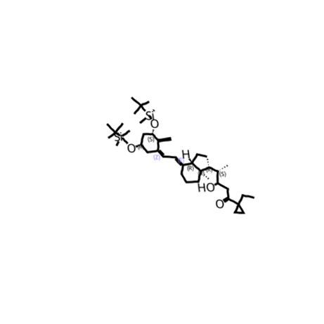 C=C1/C(=C\C=C2/CCC[C@]3(C)[C@@H]([C@H](C)C(O)CC(=O)C4(CC)CC4)CC[C@@H]23)C[C@@H](O[Si](C)(C)C(C)(C)C)C[C@@H]1O[Si](C)(C)C(C)(C)C